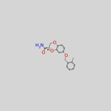 Cc1ccccc1COc1ccc2c(c1)O[C@@H](C(N)=O)CO2